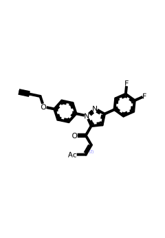 C#CCOc1ccc(-n2nc(-c3ccc(F)c(F)c3)cc2C(=O)/C=C\C(C)=O)cc1